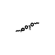 CCCCC[C@H]1CC[C@H](C(C#N)C[C@H]2CC[C@H](c3ccc(OCCCC)cc3)CC2)CC1